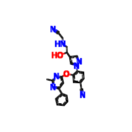 Cc1nc(Oc2cc(C#N)ccc2-n2cc(C(O)CNCC#N)cn2)cc(-c2ccccc2)n1